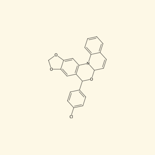 Clc1ccc(C2OC3C=Cc4ccccc4N3c3cc4c(cc32)OCO4)cc1